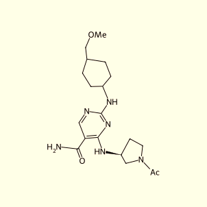 COCC1CCC(Nc2ncc(C(N)=O)c(N[C@H]3CCN(C(C)=O)C3)n2)CC1